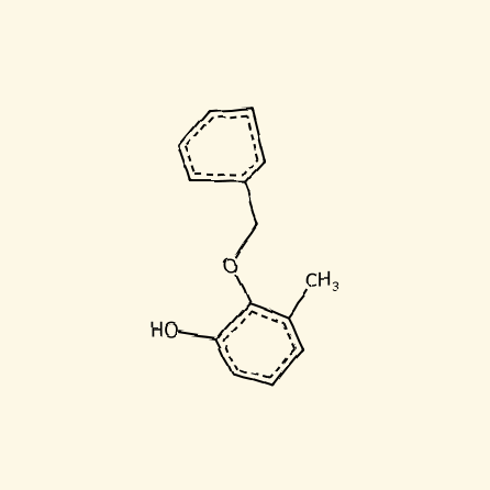 Cc1cccc(O)c1OCc1ccccc1